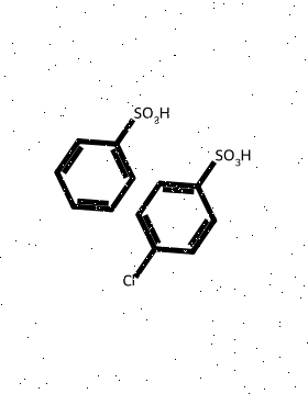 O=S(=O)(O)c1ccc(Cl)cc1.O=S(=O)(O)c1ccccc1